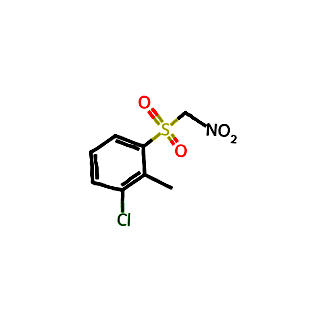 Cc1c(Cl)cccc1S(=O)(=O)C[N+](=O)[O-]